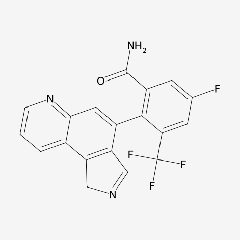 NC(=O)c1cc(F)cc(C(F)(F)F)c1-c1cc2ncccc2c2c1C=NC2